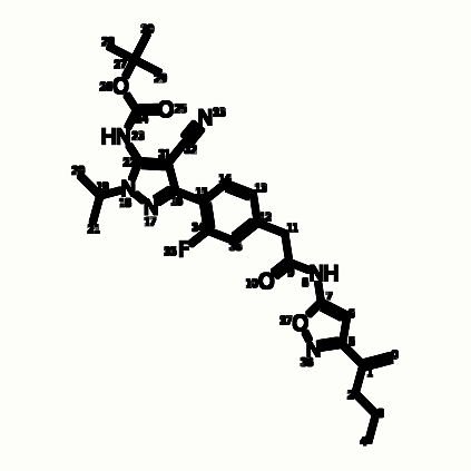 C=C(CCC)c1cc(NC(=O)Cc2ccc(-c3nn(C(C)C)c(NC(=O)OC(C)(C)C)c3C#N)c(F)c2)on1